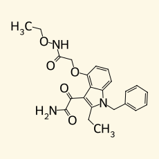 CCONC(=O)COc1cccc2c1c(C(=O)C(N)=O)c(CC)n2Cc1ccccc1